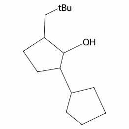 CC(C)(C)CC1CCC(C2CCCC2)C1O